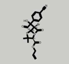 C=CCOC(=O)[C@@H]1N2C(=O)[C@@](Br)(C(O)(C=O)c3ccc(C#N)cc3)[C@H]2SC1(C)C